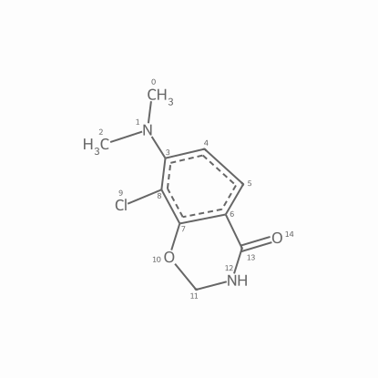 CN(C)c1ccc2c(c1Cl)OCNC2=O